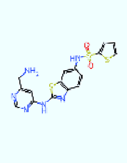 NCc1cc(Nc2nc3ccc(NS(=O)(=O)c4cccs4)cc3s2)ncn1